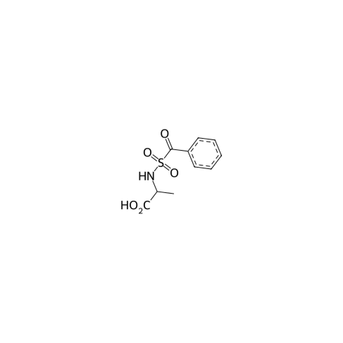 CC(NS(=O)(=O)C(=O)c1ccccc1)C(=O)O